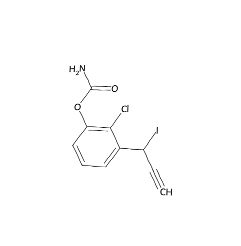 C#CC(I)c1cccc(OC(N)=O)c1Cl